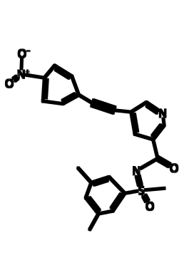 Cc1cc(C)cc(S(C)(=O)=NC(=O)c2cncc(C#Cc3ccc([N+](=O)[O-])cc3)c2)c1